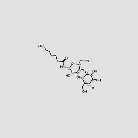 CCCCCCCCCCCCCCCC(=O)N[C@@H]1O[C@H](CO)[C@@H](O[C@@H]2O[C@H](CO)[C@@H](O)[C@H](O)[C@@H]2O)[C@H](O)[C@@H]1O